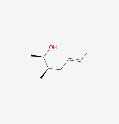 CC=CC[C@@H](C)[C@@H](C)O